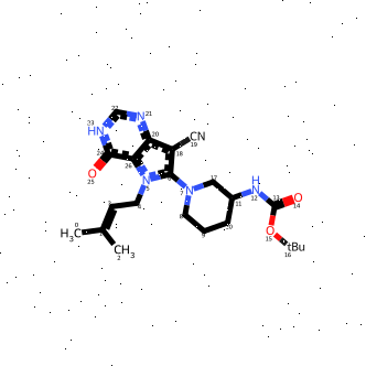 CC(C)=CCn1c(N2CCCC(NC(=O)OC(C)(C)C)C2)c(C#N)c2nc[nH]c(=O)c21